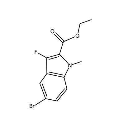 CCOC(=O)c1c(F)c2cc(Br)ccc2n1C